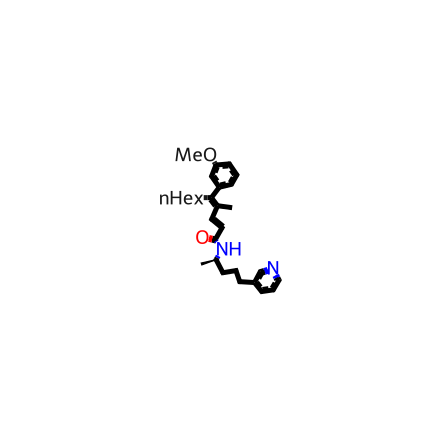 CCCCCC/C(=C(C)\C=C\C(=O)N[C@H](C)CCCc1cccnc1)c1cccc(OC)c1